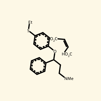 CCSc1ccc(OC(CCNC)c2ccccc2)cc1.O=C(O)/C=C\C(=O)O